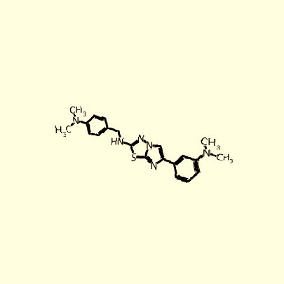 CN(C)c1ccc(CNc2nn3cc(-c4cccc(N(C)C)c4)nc3s2)cc1